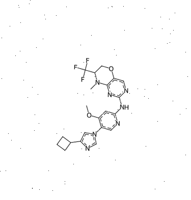 COc1cc(Nc2ncc3c(n2)N(C)C(C(F)(F)F)CO3)ncc1-n1cnc(C2CCC2)c1